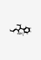 CC=CC(N)C(CC)c1ccccc1